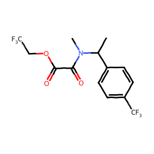 CC(c1ccc(C(F)(F)F)cc1)N(C)C(=O)C(=O)OCC(F)(F)F